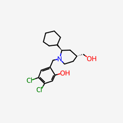 OC[C@@H]1CCN(Cc2cc(Cl)c(Cl)cc2O)[C@@H](C2CCCCC2)C1